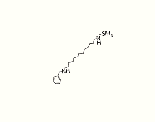 [SiH3]CNCCCCCCCCCCCCCNCc1ccccc1